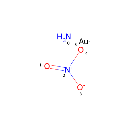 N.O=[N+]([O-])[O-].[Au]